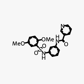 COc1ccc(OC)c(S(=O)(=O)Nc2cccc(NC(=O)c3cccnc3)c2)c1